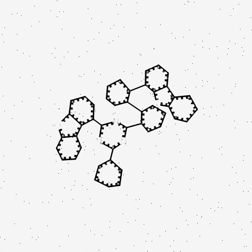 c1ccc(-c2nc(-c3ccccc3-c3ccccc3-c3cccc4c3sc3ccccc34)nc(-c3cccc4oc5ccccc5c34)n2)cc1